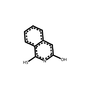 Oc1cc2ccccc2c(S)n1